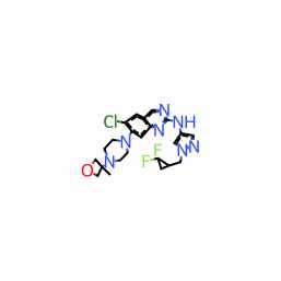 CC1(N2CCN(c3cc4nc(Nc5cnn(CC6CC6(F)F)c5)ncc4cc3Cl)CC2)COC1